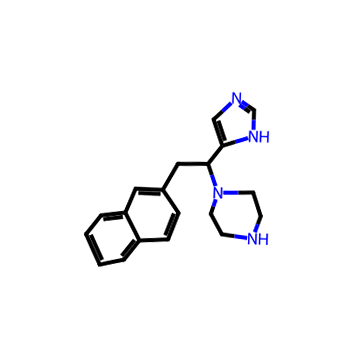 c1ccc2cc(CC(c3cnc[nH]3)N3CCNCC3)ccc2c1